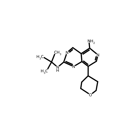 CC(C)(C)Nc1ncc2c(N)ncc(C3CCOCC3)c2n1